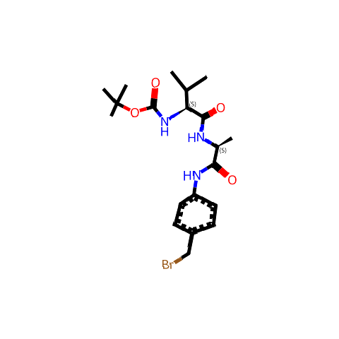 CC(C)[C@H](NC(=O)OC(C)(C)C)C(=O)N[C@@H](C)C(=O)Nc1ccc(CBr)cc1